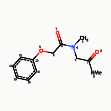 CNC(=O)CN(C)C(=O)COc1ccccc1